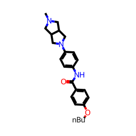 CCCCOc1ccc(C(=O)Nc2ccc(N3CC4CN(C)CC4C3)cc2)cc1